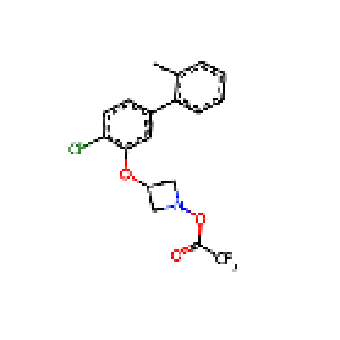 Cc1ccccc1-c1ccc(Cl)c(OC2CN(OC(=O)C(F)(F)F)C2)c1